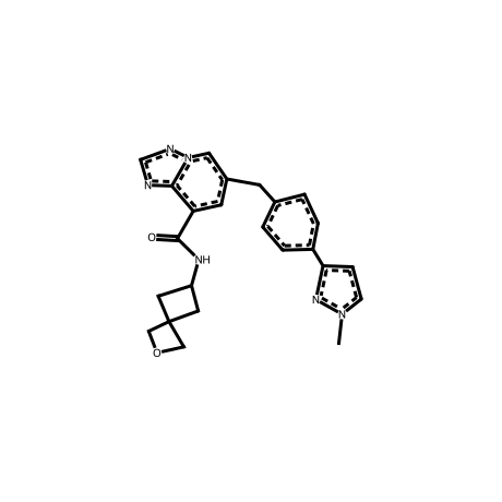 Cn1ccc(-c2ccc(Cc3cc(C(=O)NC4CC5(COC5)C4)c4ncnn4c3)cc2)n1